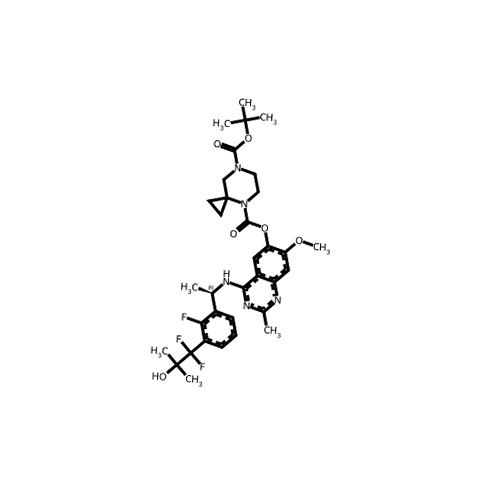 COc1cc2nc(C)nc(N[C@H](C)c3cccc(C(F)(F)C(C)(C)O)c3F)c2cc1OC(=O)N1CCN(C(=O)OC(C)(C)C)CC12CC2